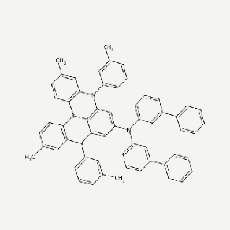 Cc1cccc(N2c3cc(C)ccc3B3c4ccc(C)cc4N(c4cccc(C)c4)c4cc(N(c5cccc(-c6ccccc6)c5)c5cccc(-c6ccccc6)c5)cc2c43)c1